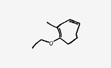 CCOC1=C(C)C=CCC1